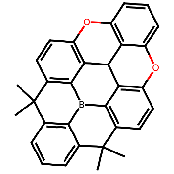 CC1(C)c2cccc3c2B2c4c1ccc1c4C4c5c(cccc5Oc5ccc(c2c54)C3(C)C)O1